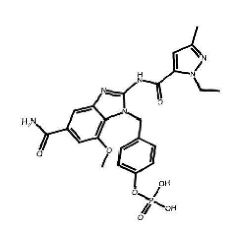 CCn1nc(C)cc1C(=O)Nc1nc2cc(C(N)=O)cc(OC)c2n1Cc1ccc(OP(=O)(O)O)cc1